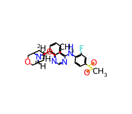 [2H]C([2H])(c1ccccc1)N1C2COC[C@H]1C[C@H](Oc1ncnc(Nc3ccc(S(C)(=O)=O)cc3F)c1C)C2